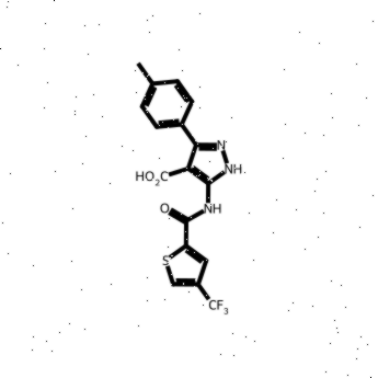 Cc1ccc(-c2n[nH]c(NC(=O)c3cc(C(F)(F)F)cs3)c2C(=O)O)cc1